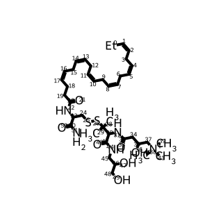 CC/C=C\C/C=C\C/C=C\C/C=C\C/C=C\C/C=C\CCC(=O)NC(CSSC(C)(C)C(NC(=O)CC(O)C[N+](C)(C)C)C(=O)NCC(O)CO)C(N)=O